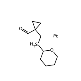 O=CC1(C[SiH2]C2CCCCO2)CC1.[Pt]